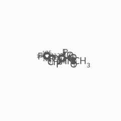 CS(=O)(=O)NC(=O)c1cc(F)c(OCc2ccc(F)cc2Cl)cc1F